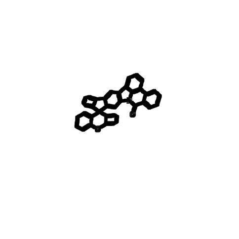 O=c1c2ccccc2c2cccc3c4cc5c(cc4n1c23)C1(c2ccccc2Oc2ccccc21)c1ccccc1-5